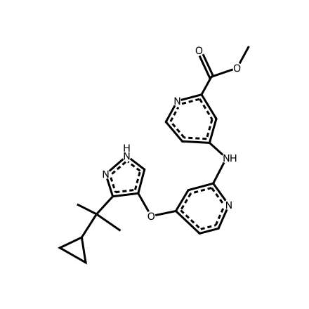 COC(=O)c1cc(Nc2cc(Oc3c[nH]nc3C(C)(C)C3CC3)ccn2)ccn1